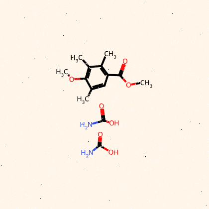 COC(=O)c1cc(C)c(OC)c(C)c1C.NC(=O)O.NC(=O)O